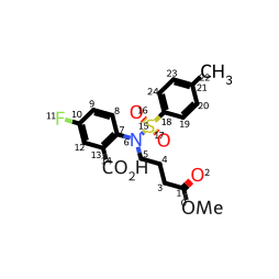 COC(=O)CCCN(c1ccc(F)cc1C(=O)O)S(=O)(=O)c1ccc(C)cc1